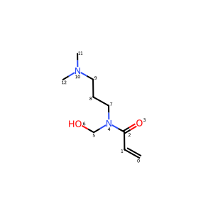 C=CC(=O)N(CO)CCCN(C)C